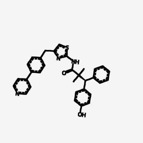 CC(C)(C(=O)Nc1nc(Cc2ccc(-c3ccncc3)cc2)cs1)[C@@H](c1ccccc1)c1ccc(O)cc1